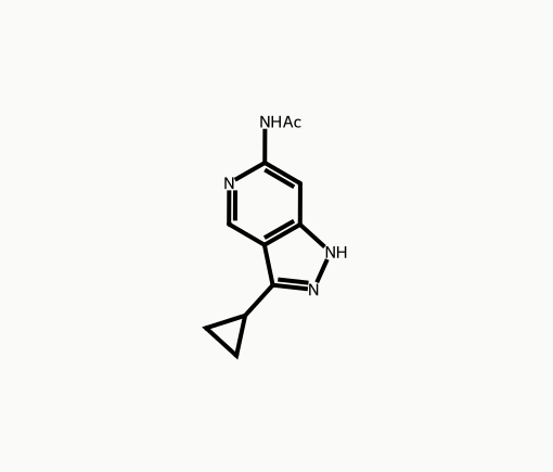 CC(=O)Nc1cc2[nH]nc(C3CC3)c2cn1